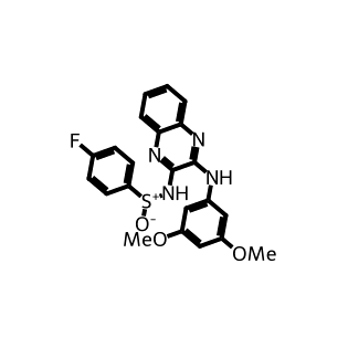 COc1cc(Nc2nc3ccccc3nc2N[S+]([O-])c2ccc(F)cc2)cc(OC)c1